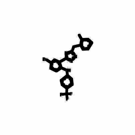 Cc1ccccc1Cn1nnc(-c2cc(Br)ccc2Nc2ccc(C(F)(F)F)cc2)n1